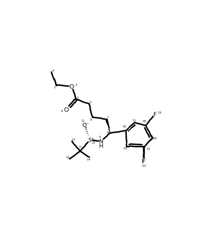 CCOC(=O)CCC[C@H](N[S@@+]([O-])C(C)(C)C)c1cc(F)cc(F)c1